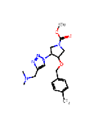 CN(C)Cc1cn(C2CN(C(=O)OC(C)(C)C)CC2OCc2ccc(C(F)(F)F)cc2)nn1